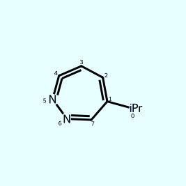 CC(C)C1=CC=C=NN=C1